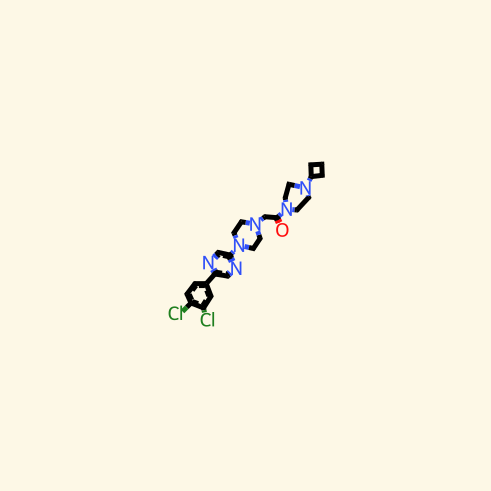 O=C(CN1CCN(c2cnc(-c3ccc(Cl)c(Cl)c3)cn2)CC1)N1CCN(C2CCC2)CC1